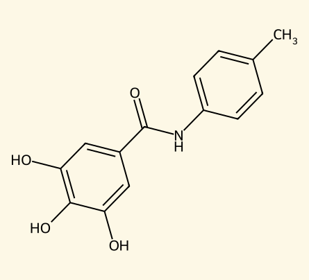 Cc1ccc(NC(=O)c2cc(O)c(O)c(O)c2)cc1